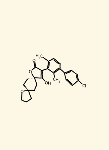 Cc1ccc(-c2ccc(Cl)cc2)c(C)c1C1=C(O)[C@]2(CC[C@]3(CCCO3)CC2)OC1=O